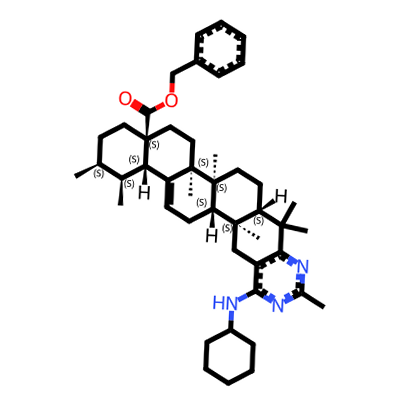 Cc1nc(NC2CCCCC2)c2c(n1)C(C)(C)[C@H]1CC[C@@]3(C)[C@@H](CC=C4[C@@H]5[C@@H](C)[C@@H](C)CC[C@]5(C(=O)OCc5ccccc5)CC[C@]43C)[C@]1(C)C2